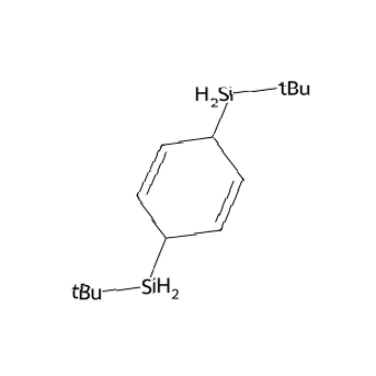 CC(C)(C)[SiH2]C1C=CC([SiH2]C(C)(C)C)C=C1